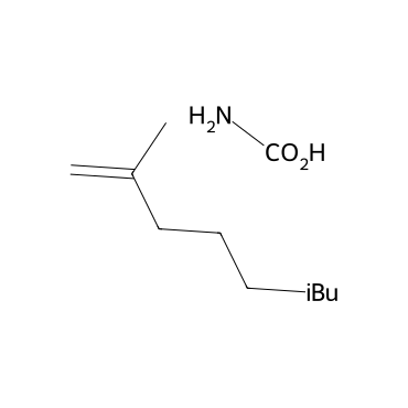 C=C(C)CCCC(C)CC.NC(=O)O